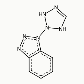 C1=NNN(n2nnc3ccccc32)N1